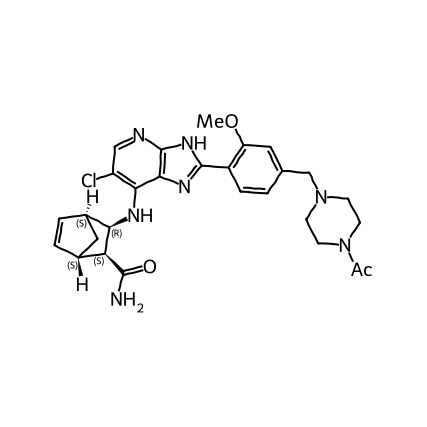 COc1cc(CN2CCN(C(C)=O)CC2)ccc1-c1nc2c(N[C@H]3[C@@H](C(N)=O)[C@@H]4C=C[C@@H]3C4)c(Cl)cnc2[nH]1